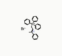 C/C(=C\C[P+](c1ccccc1)(c1ccccc1)c1ccccc1)c1ccccc1.[Br-]